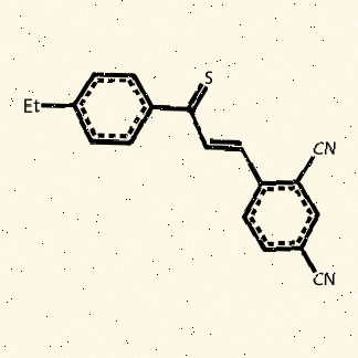 CCc1ccc(C(=S)C=Cc2ccc(C#N)cc2C#N)cc1